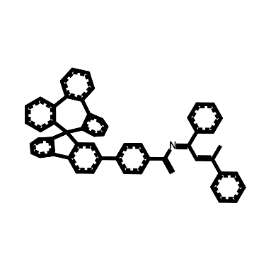 C=C(/N=C(\C=C(/C)c1ccccc1)c1ccccc1)c1ccc(-c2ccc3c(c2)C2(c4ccccc4-c4ccccc4-c4ccccc42)c2ccccc2-3)cc1